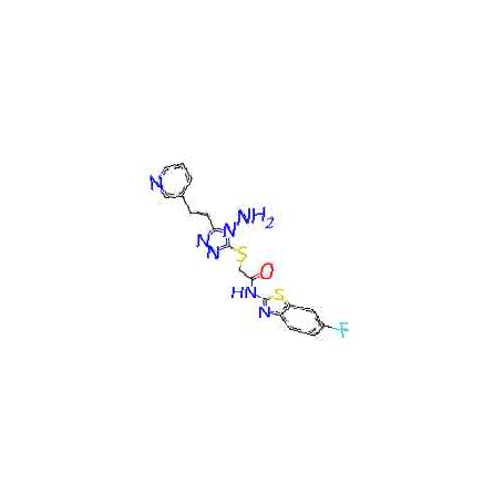 Nn1c(CCc2cccnc2)nnc1SCC(=O)Nc1nc2ccc(F)cc2s1